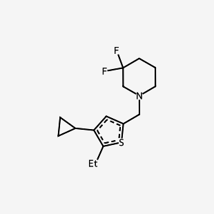 CCc1sc(CN2CCCC(F)(F)C2)cc1C1CC1